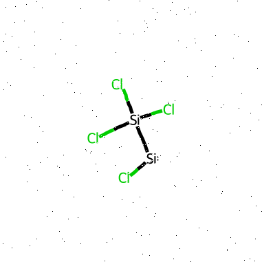 Cl[Si][Si](Cl)(Cl)Cl